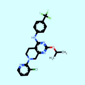 CC(C)Oc1nc2c(c(Nc3ccc(C(F)(F)F)cc3)n1)CCN(c1ncccc1Cl)C2